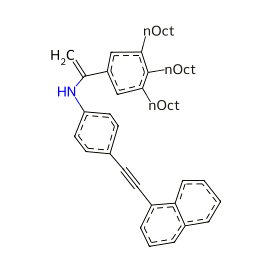 C=C(Nc1ccc(C#Cc2cccc3ccccc23)cc1)c1cc(CCCCCCCC)c(CCCCCCCC)c(CCCCCCCC)c1